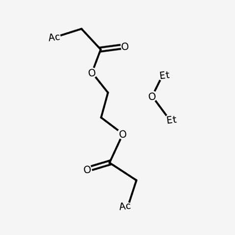 CC(=O)CC(=O)OCCOC(=O)CC(C)=O.CCOCC